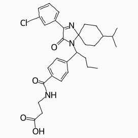 CCCC(c1ccc(C(=O)NCCC(=O)O)cc1)N1C(=O)C(c2cccc(Cl)c2)=NC12CCC(C(C)C)CC2